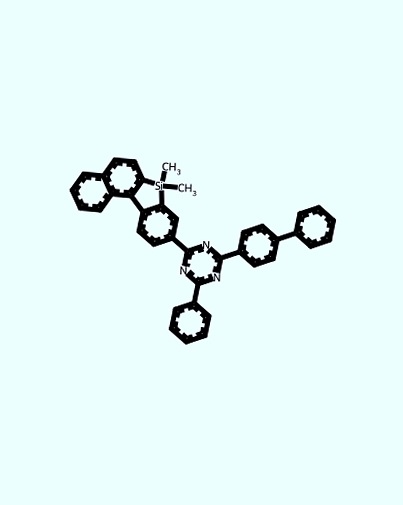 C[Si]1(C)c2cc(-c3nc(-c4ccccc4)nc(-c4ccc(-c5ccccc5)cc4)n3)ccc2-c2c1ccc1ccccc21